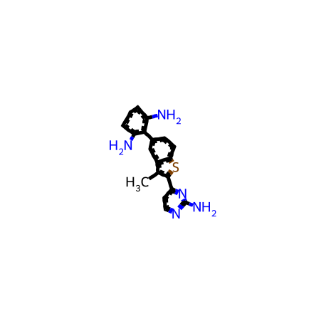 Cc1c(-c2ccnc(N)n2)sc2ccc(-c3c(N)cccc3N)cc12